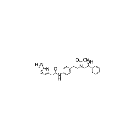 CC(=O)N(CCc1ccc(NC(=O)Cc2csc(N)n2)cc1)CC(O)c1ccccc1